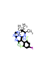 C[C@@H](Nc1c(-c2c(F)cc(I)cc2F)c(Cl)nc2ncnn12)C(C)(C)C